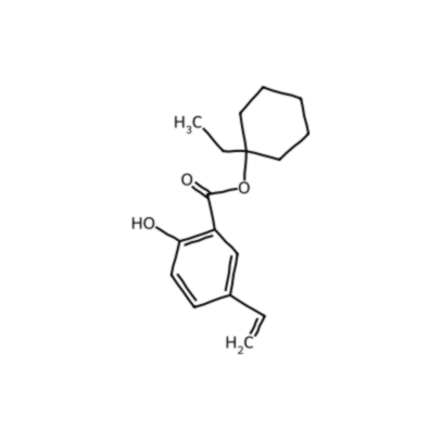 C=Cc1ccc(O)c(C(=O)OC2(CC)CCCCC2)c1